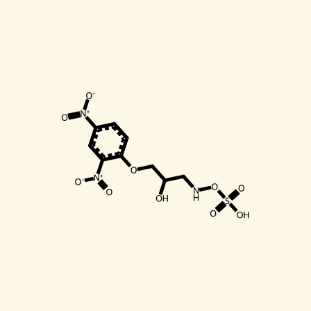 O=[N+]([O-])c1ccc(OCC(O)CNOS(=O)(=O)O)c([N+](=O)[O-])c1